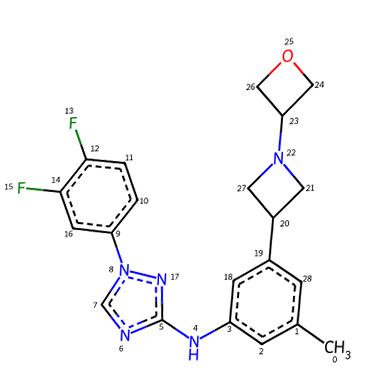 Cc1cc(Nc2ncn(-c3ccc(F)c(F)c3)n2)cc(C2CN(C3COC3)C2)c1